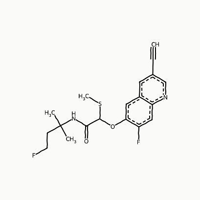 C#Cc1cnc2cc(F)c(OC(SC)C(=O)NC(C)(C)CCF)cc2c1